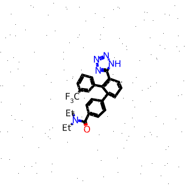 CCN(CC)C(=O)c1ccc(-c2cc[c]c(-c3nnn[nH]3)c2-c2cccc(C(F)(F)F)c2)cc1